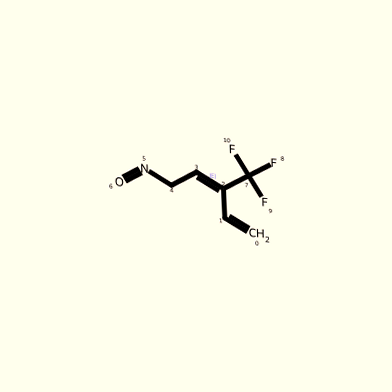 C=C/C(=C\CN=O)C(F)(F)F